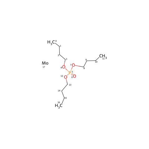 CCCCOP(=O)(OCCCC)OCCCC.[Mo]